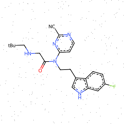 CC(C)(C)CNCC(=O)N(CCc1c[nH]c2cc(F)ccc12)c1ccnc(C#N)n1